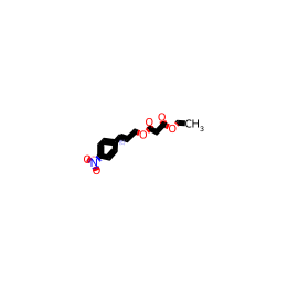 CCOC(=O)CC(=O)OC/C=C/c1ccc([N+](=O)[O-])cc1